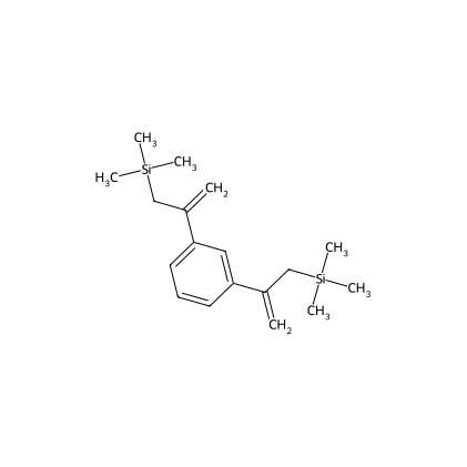 C=C(C[Si](C)(C)C)c1cccc(C(=C)C[Si](C)(C)C)c1